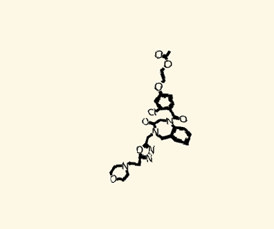 CC(=O)OCCOc1ccc(C(=O)N2CC(=O)N(Cc3nnc(CCN4CCOCC4)o3)Cc3ccccc32)c(Cl)c1